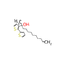 C=CCCCCCCCCC(C)(O)c1ccsc1-c1cccs1